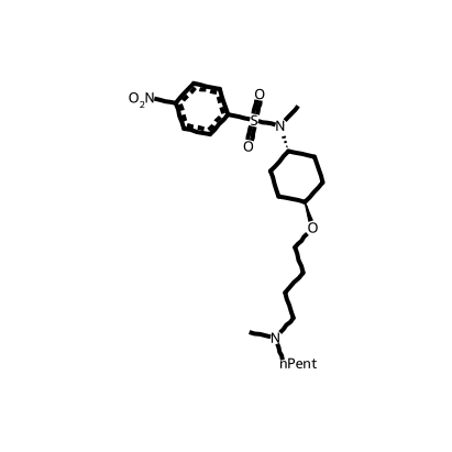 CCCCCN(C)CCCCO[C@H]1CC[C@H](N(C)S(=O)(=O)c2ccc([N+](=O)[O-])cc2)CC1